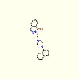 O=c1c2ccccc2cnn1CCN1CCN(c2cccc3ccccc23)CC1